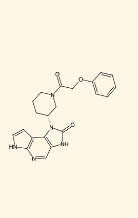 O=C(COc1ccccc1)N1CCC[C@@H](n2c(=O)[nH]c3cnc4[nH]ccc4c32)C1